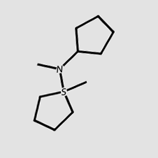 CN(C1CCCC1)S1(C)CCCC1